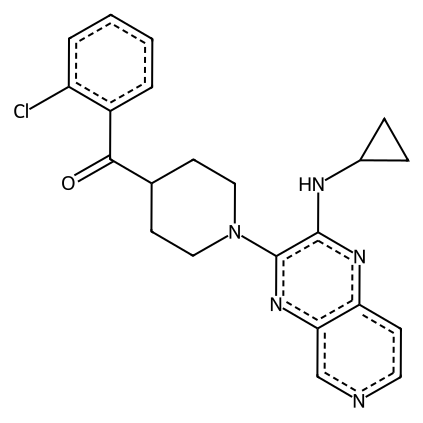 O=C(c1ccccc1Cl)C1CCN(c2nc3cnccc3nc2NC2CC2)CC1